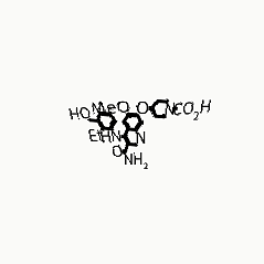 CCc1c(CO)cccc1Nc1c(C(N)=O)cnc2cc(OC3CCN(C(=O)O)CC3)c(OC)cc12